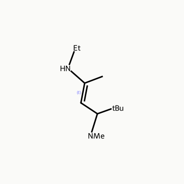 CCN/C(C)=C/C(NC)C(C)(C)C